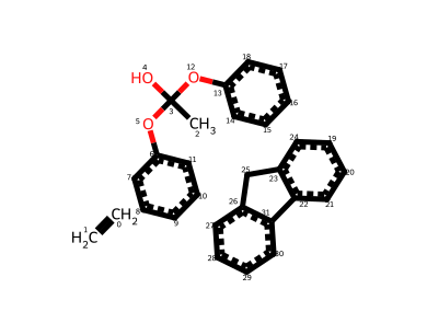 C=C.CC(O)(Oc1ccccc1)Oc1ccccc1.c1ccc2c(c1)Cc1ccccc1-2